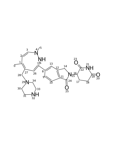 Cc1ccn(C)[nH]c(-c2ccc3c(c2)CN(C2CCC(=O)NC2=O)C3=O)cc1CN1CCNCC1